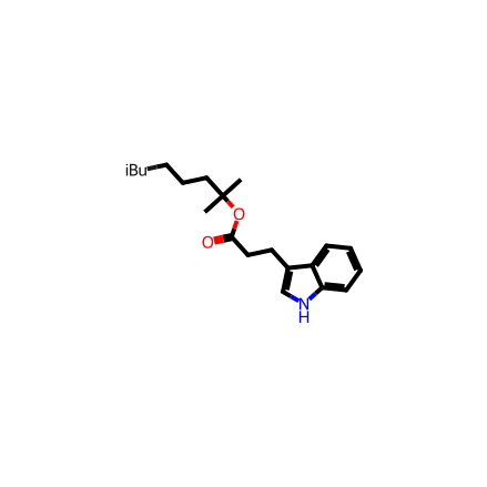 CCC(C)CCCC(C)(C)OC(=O)CCc1c[nH]c2ccccc12